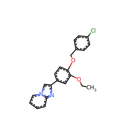 CCOc1cc(-c2cn3ccccc3n2)ccc1OCc1ccc(Cl)cc1